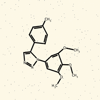 COc1cc(-n2nncc2-c2ccc(C)cc2)cc(OC)c1OC